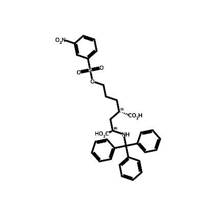 O=C(O)[C@@H](CCCOS(=O)(=O)c1cccc([N+](=O)[O-])c1)C[C@@H](NC(c1ccccc1)(c1ccccc1)c1ccccc1)C(=O)O